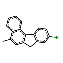 Cc1cc2c(c3ccccc13)-c1ccc(Br)cc1C2